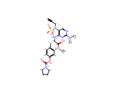 C#CCN(c1cnc(N(CC)CC)nc1N[C@@H](Cc1ccc(OC(=O)N2CCCC2)cc1)C(=O)OC(C)(C)C)S(C)(=O)=O